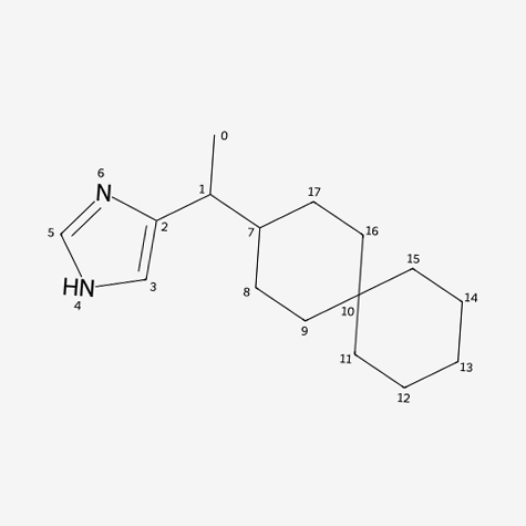 CC(c1c[nH]cn1)C1CCC2(CCCCC2)CC1